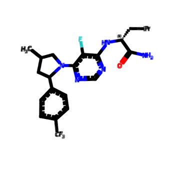 CC(C)C[C@@H](Nc1ncnc(N2CC(C)CC2c2ccc(C(F)(F)F)cc2)c1F)C(N)=O